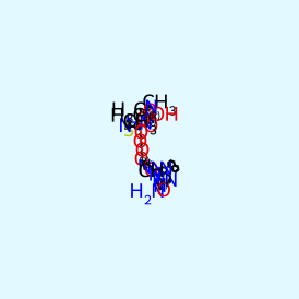 Cc1cc([C@H](C(=O)N2C[C@H](O)C[C@H]2C(=O)NCc2ccc(-c3scnc3C)cc2OCCOCCOCCO[C@@H]2C[C@@H](COc3nc4c(c(N5CCN(C(N)=O)[C@@H](CC#N)C5)n3)CCN(c3cccc5ccccc35)C4)N(C)C2)C(C)C)on1